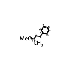 COC(C)CCc1[c]cccc1